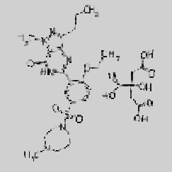 CCCc1nn(C)c2c(=O)[nH]c(-c3cc(S(=O)(=O)N4CCCN(C)CC4)ccc3OCC)nc12.O=C(O)CC(O)(CC(=O)O)C(=O)O